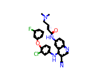 CN(C)C/C=C/C(=O)Nc1ccc2ncc(C#N)c(Nc3ccc(Oc4cccc(F)c4)c(Cl)c3)c2c1